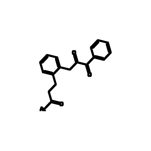 CC(=O)C(=O)CCc1ccccc1CC(=O)C(=O)c1ccccc1